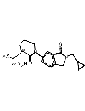 CC(=O)OC(C(=O)O)[C@H]1OCCN(c2ccc3c(c2)C(=O)N(CC2CC2)C3)C1=O